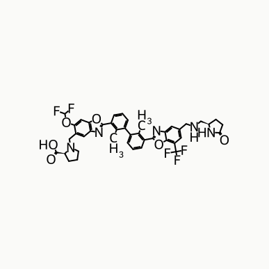 Cc1c(-c2nc3cc(CN4CCC[C@H]4C(=O)O)c(OC(F)F)cc3o2)cccc1-c1cccc(-c2nc3cc(CNC[C@H]4CCC(=O)N4)cc(C(F)(F)F)c3o2)c1C